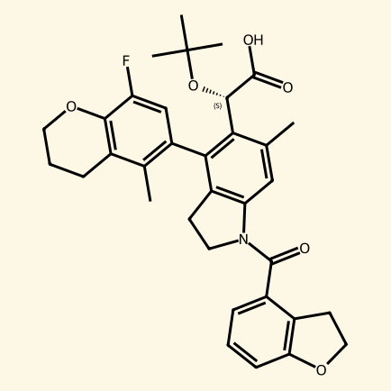 Cc1cc2c(c(-c3cc(F)c4c(c3C)CCCO4)c1[C@H](OC(C)(C)C)C(=O)O)CCN2C(=O)c1cccc2c1CCO2